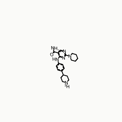 [2H]N1CCC(c2ccc(Nc3nc(N4CCCCC4)ncc3C(N)=O)cc2)CC1